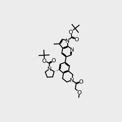 COCC(=O)N1CCc2c(cc(-c3cnc4c(c3)c(C)cn4C(=O)OC(C)(C)C)cc2[C@@H]2CCCN2C(=O)OC(C)(C)C)C1